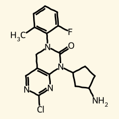 Cc1cccc(F)c1N1Cc2cnc(Cl)nc2N(C2CCC(N)C2)C1=O